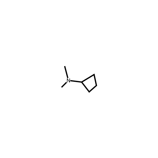 CN(C)C1CCC1